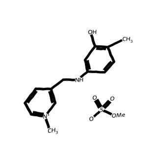 COS(=O)(=O)[O-].Cc1ccc(NCc2ccc[n+](C)c2)cc1O